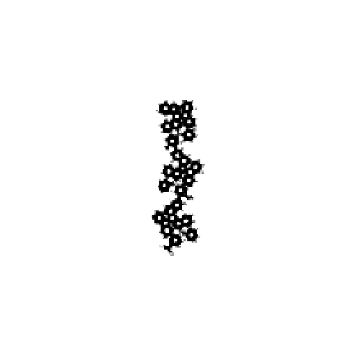 CCc1ccc(N(c2ccccc2)c2cc3c(c4ccccc24)-c2c(ccc4cc(-c5cc(N(c6ccccc6)c6cc7c(c8ccccc68)-c6c(ccc8ccccc68)C76c7ccccc7-c7ccccc76)ccc5C)ccc24)C32c3ccccc3-c3ccccc32)cc1-c1ccc2c3c(ccc2c1)C1(c2ccccc2-c2ccccc21)c1cc(N(c2ccccc2)c2ccc(C(C)C)cc2)c2ccccc2c1-3